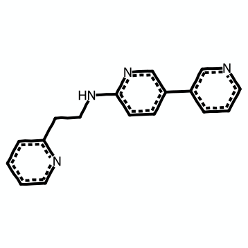 c1ccc(CCNc2ccc(-c3cccnc3)cn2)nc1